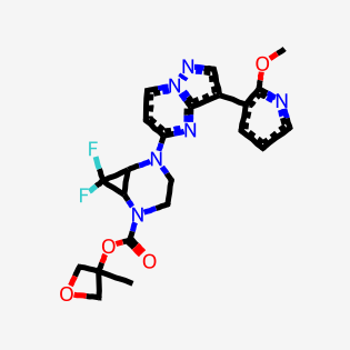 COc1ncccc1-c1cnn2ccc(N3CCN(C(=O)OC4(C)COC4)C4C3C4(F)F)nc12